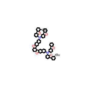 CC(C)(C)c1cccc2c1oc1c(N(c3ccc4cc5c(cc4c3)oc3ccc4oc6cc7cc(N(c8ccc9oc%10ccccc%10c9c8)c8cccc9c8oc8c(C(C)(C)C)cccc89)ccc7cc6c4c35)c3ccc4oc5ccccc5c4c3)cccc12